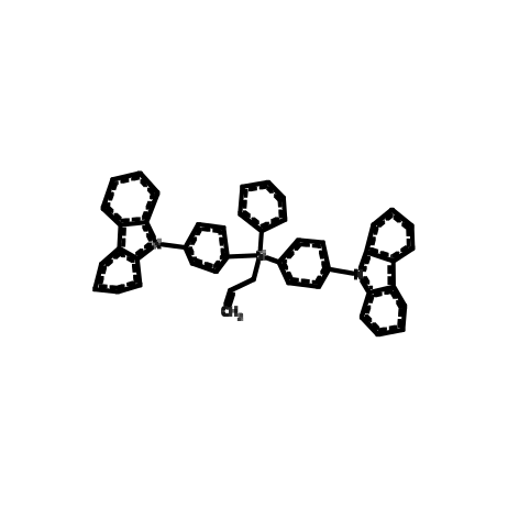 C=CC[Si](c1ccccc1)(c1ccc(-n2c3ccccc3c3ccccc32)cc1)c1ccc(-n2c3ccccc3c3ccccc32)cc1